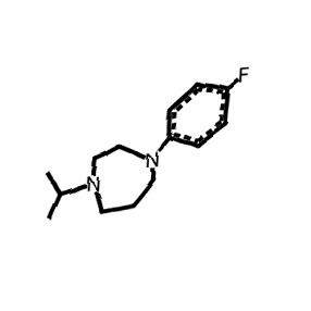 CC(C)N1CCCN(c2ccc(F)cc2)CC1